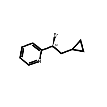 Br[C@@H](CC1CC1)c1ccccn1